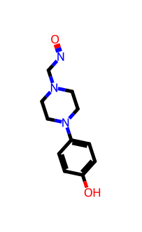 O=NCN1CCN(c2ccc(O)cc2)CC1